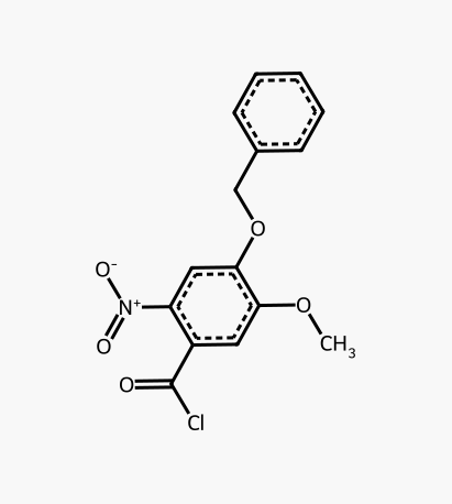 COc1cc(C(=O)Cl)c([N+](=O)[O-])cc1OCc1ccccc1